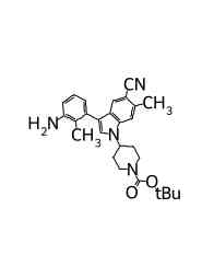 Cc1cc2c(cc1C#N)c(-c1cccc(N)c1C)cn2C1CCN(C(=O)OC(C)(C)C)CC1